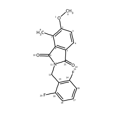 COc1ccc2c(c1C)C(=O)N(Cc1c(F)cccc1F)C2=O